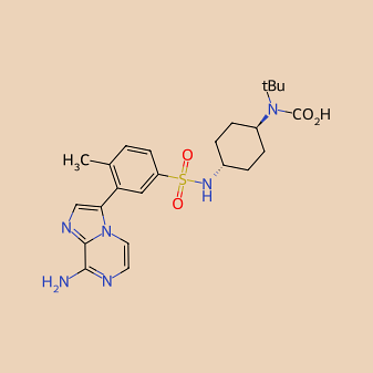 Cc1ccc(S(=O)(=O)N[C@H]2CC[C@H](N(C(=O)O)C(C)(C)C)CC2)cc1-c1cnc2c(N)nccn12